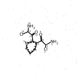 NC(Cl)C(=O)c1cccnc1C(=O)C(N)Cl